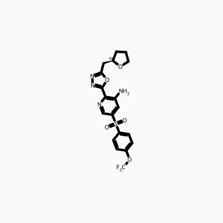 Nc1cc(S(=O)(=O)c2ccc(OC(F)(F)F)cc2)cnc1-c1nnc(C[C@H]2CCCO2)o1